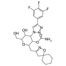 NC(=O)OC1C(CC2=NOC3(CCCCC3)C2)OC(CO)C(O)C1n1cc(-c2cc(F)c(F)c(F)c2)nn1